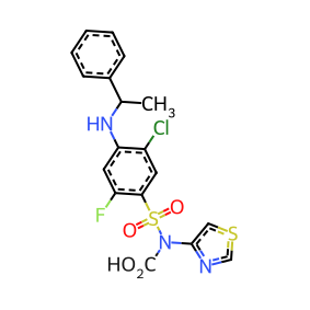 CC(Nc1cc(F)c(S(=O)(=O)N(C(=O)O)c2cscn2)cc1Cl)c1ccccc1